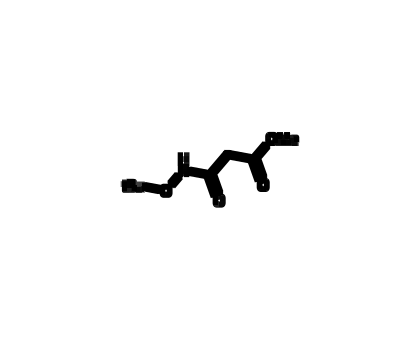 COC(=O)CC(=O)NOC(C)(C)C